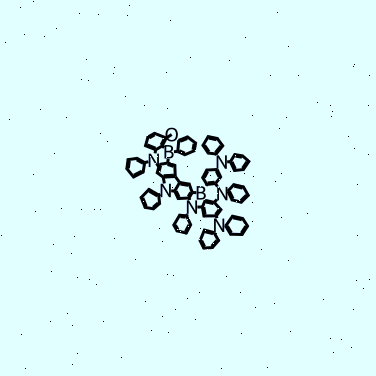 c1ccc(N(c2ccccc2)c2ccc3c(c2)N(c2ccccc2)c2cc(N(c4ccccc4)c4ccccc4)cc4c2B3c2cc3c5cc6c(cc5n(-c5ccccc5)c3cc2N4c2ccccc2)N(c2ccccc2)c2cccc3c2B6c2ccccc2O3)cc1